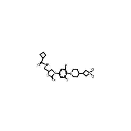 O=C(NCC1CN(c2cc(F)c(N3CCC(C4CS(=O)(=O)C4)CC3)c(F)c2)C(=O)O1)C1CCC1